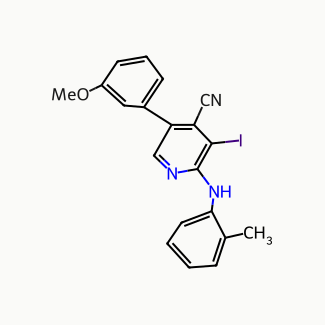 COc1cccc(-c2cnc(Nc3ccccc3C)c(I)c2C#N)c1